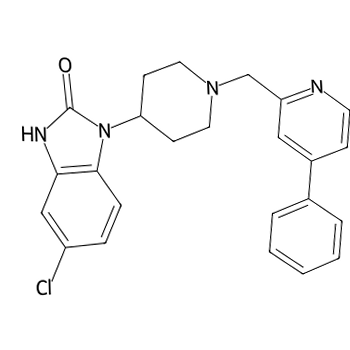 O=c1[nH]c2cc(Cl)ccc2n1C1CCN(Cc2cc(-c3ccccc3)ccn2)CC1